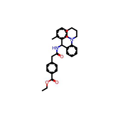 CCOC(=O)c1ccc(CC(=O)NC(c2ccccc2C)c2ccccc2N2CCCCC2)cc1